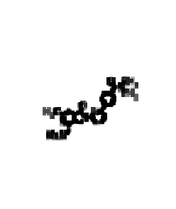 CNCc1nc(C)cc2c1CN(c1cccc(-c3ccc(C(=O)N(C)C)cc3)n1)C2=O